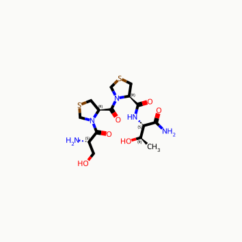 C[C@@H](O)[C@H](NC(=O)[C@@H]1CSCN1C(=O)[C@@H]1CSCN1C(=O)[C@@H](N)CO)C(N)=O